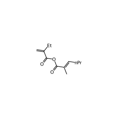 C=C(CC)C(=O)OC(=O)C(C)=CCCC